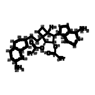 CC(C)C(=O)O[C@H]1[C@H](n2ccc3c(N)ncnc32)[C@H]2CC[C@@]2(CCc2ccc3ccc(N)nc3c2)[C@H]1OC(=O)C(C)C